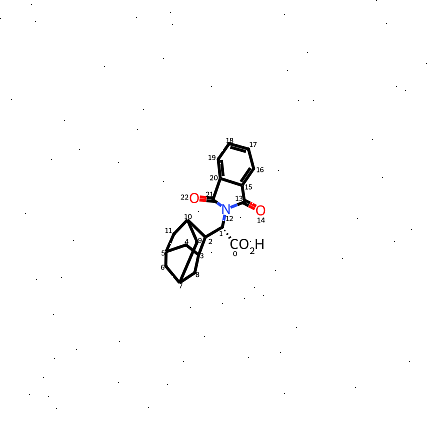 O=C(O)[C@H](C1C2CC3CC(C2)CC1C3)N1C(=O)c2ccccc2C1=O